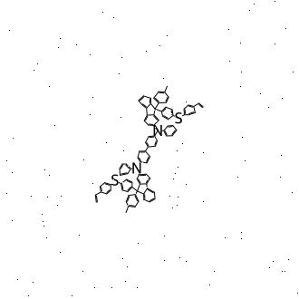 C=Cc1ccc(Sc2ccc(C3(c4ccc(C)cc4)c4ccccc4-c4ccc(N(c5ccccc5)c5ccc(-c6ccc(N(c7ccccc7)c7ccc8c(c7)C(c7ccc(C)cc7)(c7ccc(Sc9ccc(C=C)cc9)cc7)c7ccccc7-8)cc6)cc5)cc43)cc2)cc1